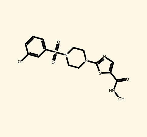 O=C(NO)c1cnc(N2CCN(S(=O)(=O)c3cccc(Cl)c3)CC2)s1